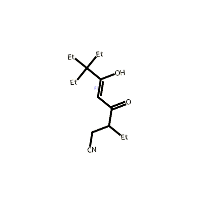 CCC(CC#N)C(=O)/C=C(\O)C(CC)(CC)CC